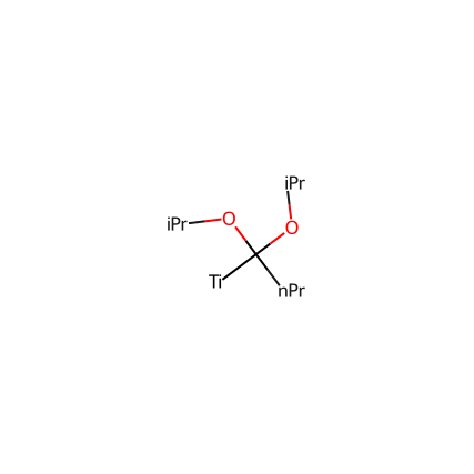 CCC[C]([Ti])(OC(C)C)OC(C)C